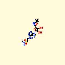 CNS(=O)(=O)CCNc1ncnc2c1ncn2[C@@H]1O[C@H](c2nnc(C(C)(C)C)o2)[C@@H](O)[C@H]1O